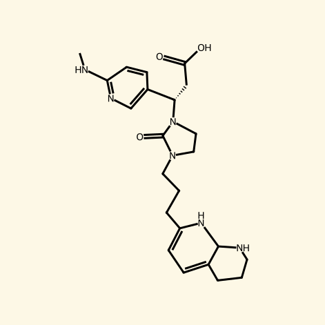 CNc1ccc([C@H](CC(=O)O)N2CCN(CCCC3=CC=C4CCCNC4N3)C2=O)cn1